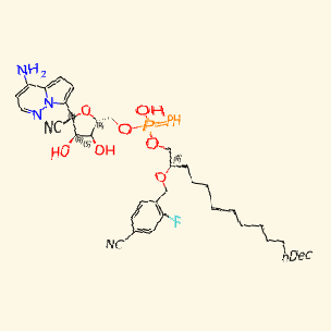 CCCCCCCCCCCCCCCCCCC[C@H](COP(O)(=P)OC[C@H]1O[C@@](C#N)(c2ccc3c(N)ccnn23)[C@H](O)[C@@H]1O)OCc1ccc(C#N)cc1F